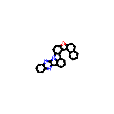 c1ccc2c(c1)ccc1oc3ccc4c(c5cccc6c7nc8ccccc8nc7n4c65)c3c12